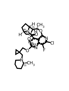 C[C@@H]1Oc2nc(Cl)c(F)c3nc(OCC4(CN5CCCC[C@@H]5C)CC4)nc(c23)N2C[C@H]3CC[C@@H]([C@@H]12)N3C(=O)OC(C)(C)C